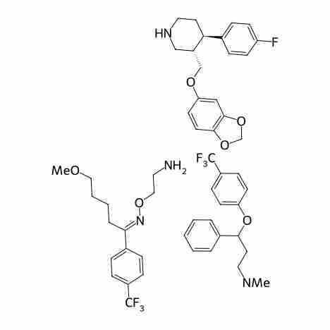 CNCCC(Oc1ccc(C(F)(F)F)cc1)c1ccccc1.COCCCC/C(=N\OCCN)c1ccc(C(F)(F)F)cc1.Fc1ccc([C@@H]2CCNC[C@H]2COc2ccc3c(c2)OCO3)cc1